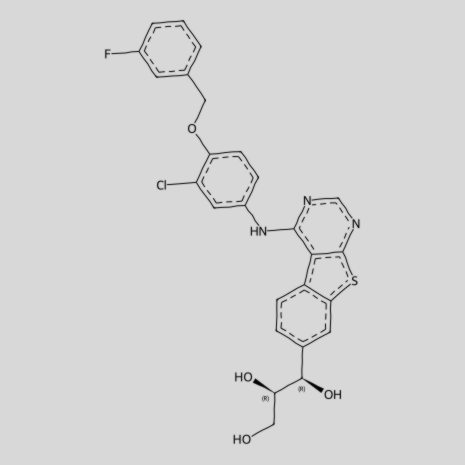 OC[C@@H](O)[C@H](O)c1ccc2c(c1)sc1ncnc(Nc3ccc(OCc4cccc(F)c4)c(Cl)c3)c12